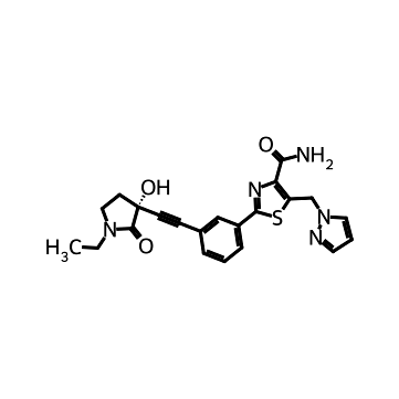 CCN1CC[C@@](O)(C#Cc2cccc(-c3nc(C(N)=O)c(Cn4cccn4)s3)c2)C1=O